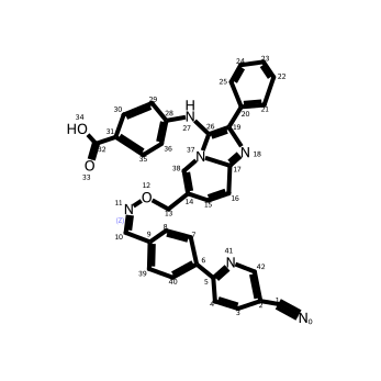 N#Cc1ccc(-c2ccc(/C=N\OCc3ccc4nc(-c5ccccc5)c(Nc5ccc(C(=O)O)cc5)n4c3)cc2)nc1